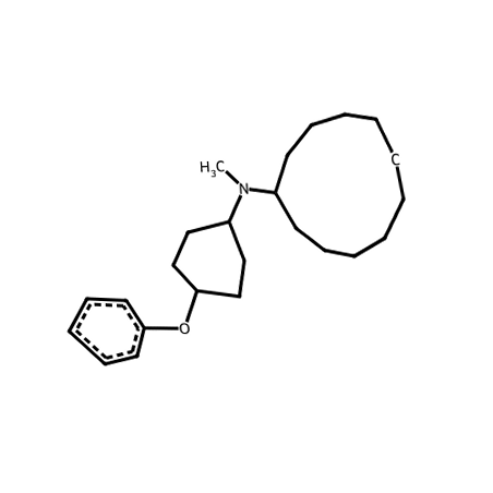 CN(C1CCCCCCCCCC1)C1CCC(Oc2ccccc2)CC1